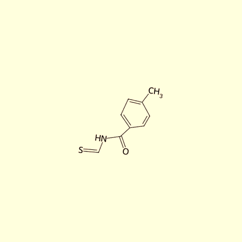 Cc1ccc(C(=O)NC=S)cc1